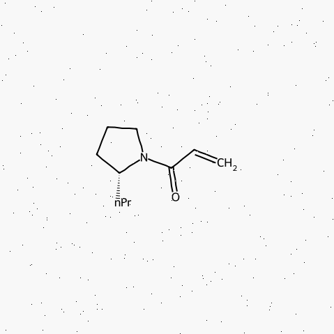 C=CC(=O)N1CCC[C@H]1CCC